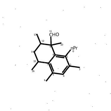 CCCc1c(C)cc(C)c2c1C(C)(C=O)C(C)CC2C